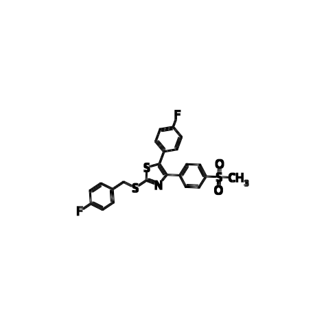 CS(=O)(=O)c1ccc(-c2nc(SCc3ccc(F)cc3)sc2-c2ccc(F)cc2)cc1